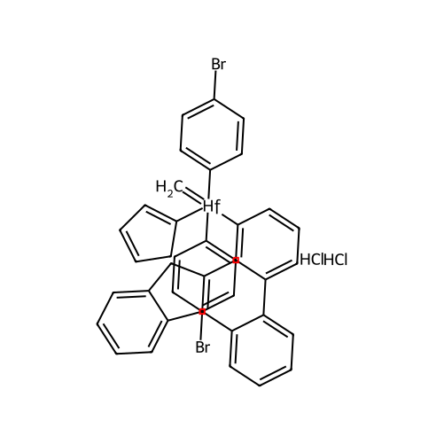 Cl.Cl.[CH2]=[Hf]([C]1=CC=CC1)([c]1ccc(Br)cc1)([c]1ccc(Br)cc1)[c]1cccc2c1c1c(c3ccccc32)-c2ccccc2C1